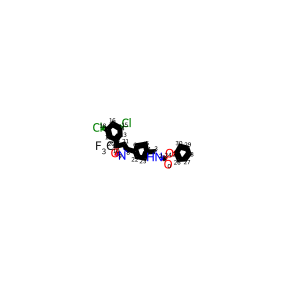 O=C(NCc1ccc(C2=NOC(c3cc(Cl)cc(Cl)c3)(C(F)(F)F)C2)cc1)Oc1ccccc1